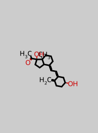 C=C1CC[C@H](O)C/C1=C/C=C1\CCC[C@@]2(C)C1CC[C@]2(O)C(C)=O